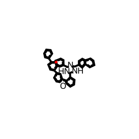 c1ccc(-c2ccc(-c3ccc4oc5cccc(C6NC(c7ccc8ccccc8c7)=NC(c7ccccc7)N6)c5c4c3)cc2)cc1